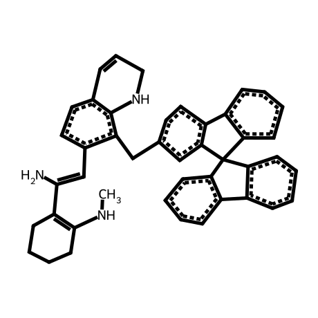 CNC1=C(/C(N)=C/c2ccc3c(c2Cc2ccc4c(c2)C2(c5ccccc5-c5ccccc52)c2ccccc2-4)NCC=C3)CCCC1